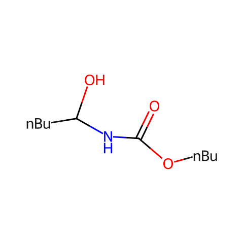 CCCCOC(=O)NC(O)CCCC